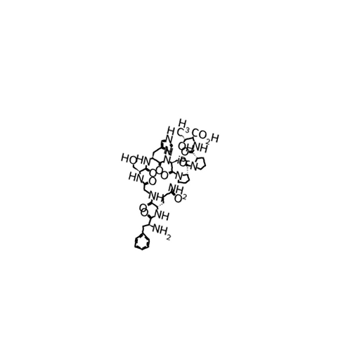 CC(C)[C@H](NC(=O)[C@H](Cc1c[nH]cn1)NC(=O)[C@H](CO)NC(=O)CNC(=O)[C@H](CCC(N)=O)NC(=O)[C@@H](N)Cc1ccccc1)C(=O)N1CCC[C@H]1C(=O)N1CCC[C@H]1C(=O)N[C@H](C(=O)O)[C@@H](C)O